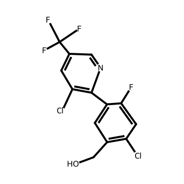 OCc1cc(-c2ncc(C(F)(F)F)cc2Cl)c(F)cc1Cl